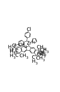 CC(C)(C)c1cc2c(cc1C(C)(C)C)[CH]([Zr+2]([C]1=CC=CC1)=[C](c1ccc(Cl)cc1)c1ccc(Cl)cc1)c1cc(C(C)(C)C)c(C(C)(C)C)cc1-2.[Cl-].[Cl-]